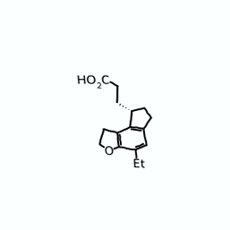 CCc1cc2c(c3c1OCC3)[C@H](CCC(=O)O)CC2